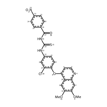 COc1cc2nccc(Oc3ccc(NC(=S)NC(=O)c4ccc([N+](=O)[O-])cc4)cc3Cl)c2cc1OC